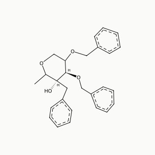 CC1OCC(OCc2ccccc2)[C@@H](OCc2ccccc2)[C@@]1(O)Cc1ccccc1